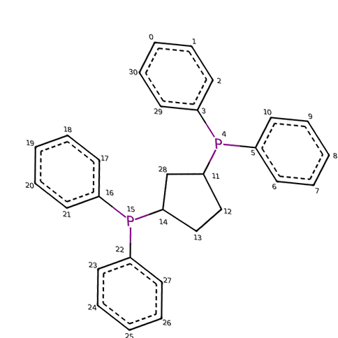 c1ccc(P(c2ccccc2)C2CCC(P(c3ccccc3)c3ccccc3)C2)cc1